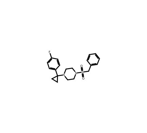 O=S(=O)(Cc1ccccc1)N1CCN(C2(c3ccc(F)cc3)CC2)CC1